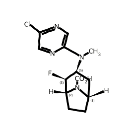 CN(c1cnc(Cl)cn1)[C@H]1C[C@@H]2CC[C@H]([C@H]1F)N2C(=O)O